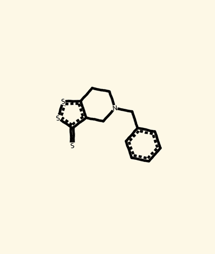 S=c1ssc2c1CN(Cc1ccccc1)CC2